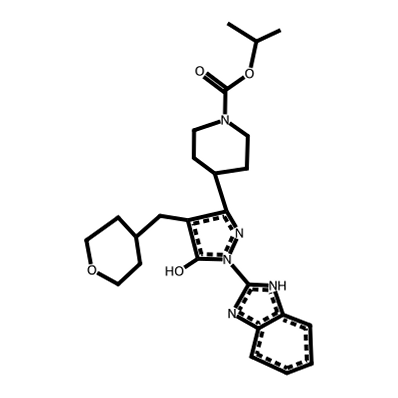 CC(C)OC(=O)N1CCC(c2nn(-c3nc4ccccc4[nH]3)c(O)c2CC2CCOCC2)CC1